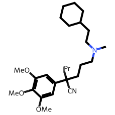 COc1cc(C(C#N)(CCCN(C)CCC2CCCCC2)C(C)C)cc(OC)c1OC